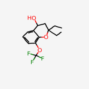 CCC1(CC)CC(O)c2cccc(OC(F)(F)F)c2O1